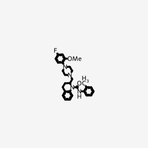 COc1cc(F)ccc1N1CCN(CC2CCc3ccccc3N2C(=O)Nc2ccccc2C)CC1